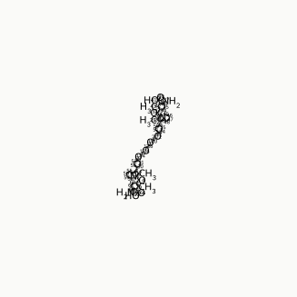 Cc1c(C(=O)c2c(C)c(-c3ccc(OCCOCCOCCOc4ccc(-c5c(C)c(C(=O)c6ccc(N)c(C(=O)O)c6C)n6ccccc56)cc4)cc3)c3ccccn23)ccc(N)c1C(=O)O